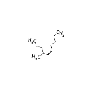 CCCC/C=C\C(C)CCC